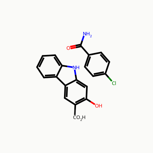 NC(=O)c1ccc(Cl)cc1.O=C(O)c1cc2c(cc1O)[nH]c1ccccc12